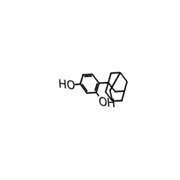 Oc1ccc(C23CC4CC(CC(C4)C2)C3)c(O)c1